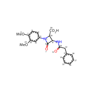 COc1ccc(N2C(=O)C(NC(=O)Cc3ccccc3)C2C(=O)O)cc1OC